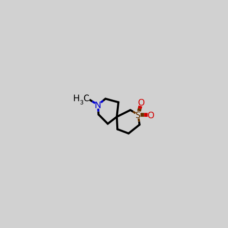 CN1CCC2(CCCS(=O)(=O)C2)CC1